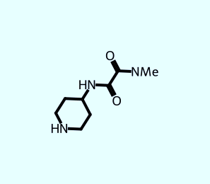 CNC(=O)C(=O)NC1CCNCC1